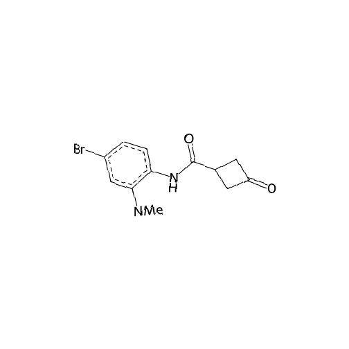 CNc1cc(Br)ccc1NC(=O)C1CC(=O)C1